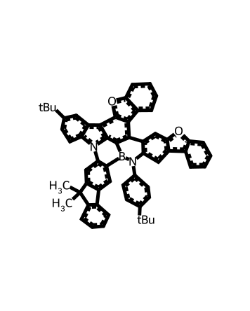 CC(C)(C)c1ccc(N2B3c4cc5c(cc4-n4c6ccc(C(C)(C)C)cc6c6c7oc8ccccc8c7c(c3c64)-c3cc4oc6ccccc6c4cc32)C(C)(C)c2ccccc2-5)cc1